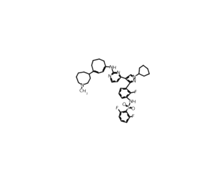 CN1CCCCC(/C2=C/C=C(/Nc3nccc(-c4cn(C5CCCCC5)nc4-c4cccc(NS(=O)(=O)c5c(F)cccc5F)c4F)n3)CCCC2)CC1